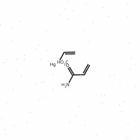 C=CC(=O)O.C=CC(N)=O.[Hg]